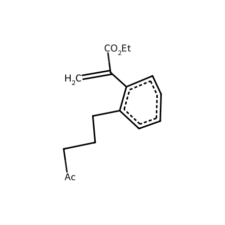 C=C(C(=O)OCC)c1ccccc1CCCC(C)=O